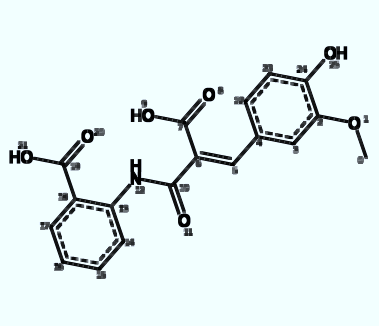 COc1cc(C=C(C(=O)O)C(=O)Nc2ccccc2C(=O)O)ccc1O